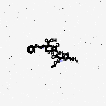 CCO/N=C(\C(=O)NC1C(=O)N2C(C(=O)O)=C(/C=C/Sc3ccccn3)CS[C@H]12)c1nsc(N)n1